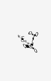 C=C.O=S(=O)=C=S(=O)=O